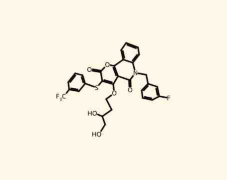 O=c1oc2c(c(OCCC(O)CO)c1Sc1cccc(C(F)(F)F)c1)c(=O)n(Cc1cccc(F)c1)c1ccccc21